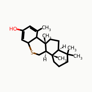 CC1=CC(O)=CC2SC[C@@H]3[C@@]4(C)CCCC(C)(C)[C@@H]4CC[C@@]3(C)C12